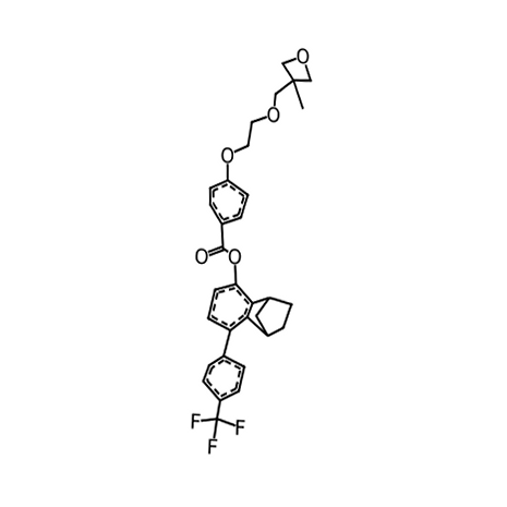 CC1(COCCOc2ccc(C(=O)Oc3ccc(-c4ccc(C(F)(F)F)cc4)c4c3C3CCC4C3)cc2)COC1